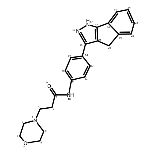 O=C(CCN1CCOCC1)Nc1ccc(-c2n[nH]c3c2Cc2ccccc2-3)cc1